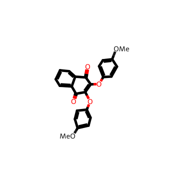 COc1ccc(OC2=C(Oc3ccc(OC)cc3)C(=O)c3ccccc3C2=O)cc1